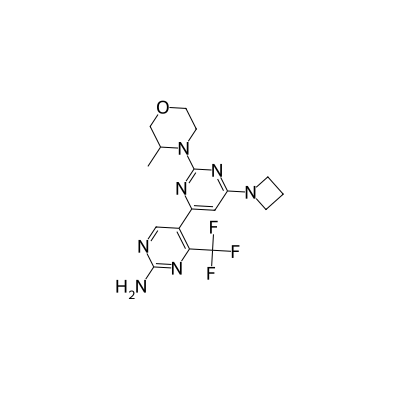 CC1COCCN1c1nc(-c2cnc(N)nc2C(F)(F)F)cc(N2CCC2)n1